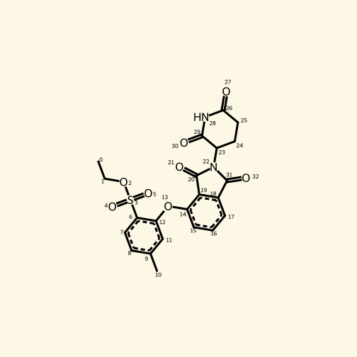 CCOS(=O)(=O)c1ccc(C)cc1Oc1cccc2c1C(=O)N(C1CCC(=O)NC1=O)C2=O